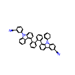 N#Cc1cccc(-n2c3ccccc3c3c(-c4ccccc4-c4ccccc4-c4cccc5c6cc(C#N)ccc6n(C6=C=C=CCC6)c45)cccc32)c1